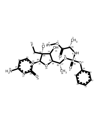 CC(C)OC(=O)[C@H](C)N[P@](=O)(Oc1ccccc1)O[C@H](C)[C@H]1O[C@@H](n2ccc(N)nc2=O)[C@@](Cl)(CF)C1O